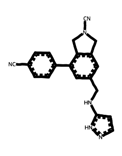 N#Cc1ccc(-c2cc(CNc3ccn[nH]3)cc3c2CN(C#N)C3)cc1